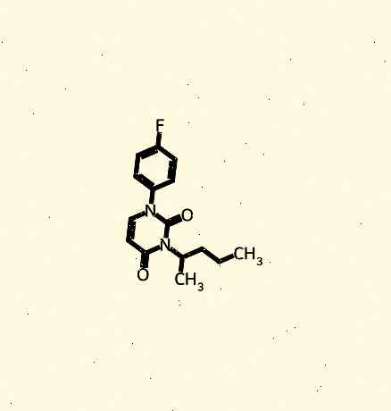 CCCC(C)n1c(=O)ccn(-c2ccc(F)cc2)c1=O